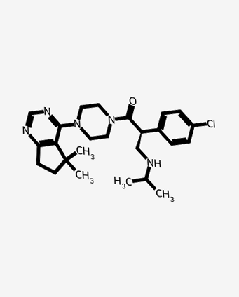 CC(C)NC[C@@H](C(=O)N1CCN(c2ncnc3c2C(C)(C)CC3)CC1)c1ccc(Cl)cc1